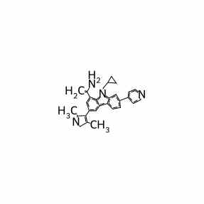 C=C(N)c1cc(C2=C(C)CN=C2C)cc2c3ccc(-c4ccncc4)cc3n(CC3CC3)c12